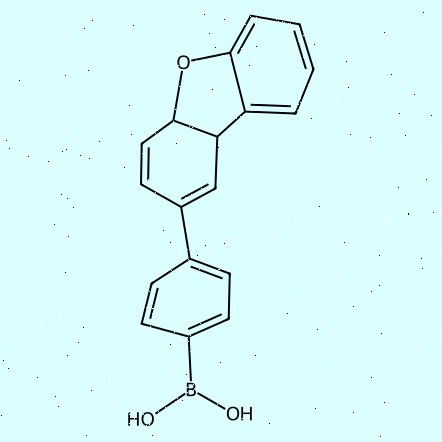 OB(O)c1ccc(C2=CC3c4ccccc4OC3C=C2)cc1